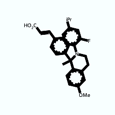 COc1ccc2c(c1)CCN(c1ccc(C(C)C)cc1F)C2(C)c1ccc(C=CC(=O)O)cc1